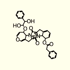 O=C(Cc1ccccc1)OC1C=CC=C2CC34SSC5(CC6=COC=CC(OC(O)C(O)c7ccccc7)C6N5C3=O)C(=O)N4C21